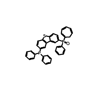 O=P(C1=CC=CC=CC1)(c1ccccc1)c1ccc2sc3ccc(P(c4ccccc4)c4ccccc4)cc3c2c1